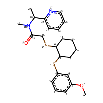 COc1cccc(SC2CCCCC2SCC(=O)N(C)C(C)c2ccccn2)c1